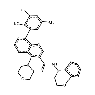 N#Cc1c(Cl)cc(C(F)(F)F)cc1-c1cccc2c(N3CCOCC3)c(C(=O)NN3CCOc4ccccc43)cnc12